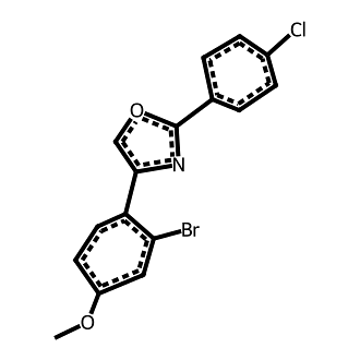 COc1ccc(-c2coc(-c3ccc(Cl)cc3)n2)c(Br)c1